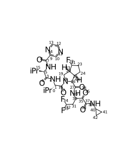 CC(C)[C@H](NC(=O)[C@H](NC(=O)c1cnccn1)C(C)C)C(=O)N1C[C@@H]2C(F)CC[C@@H]2C1C(=O)NC(CC(F)F)C(=O)C(=O)NC1CC1